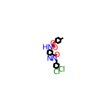 Cc1ccc(OC(=O)Nc2ccc3ncn(Cc4ccc(Cl)c(Cl)c4)c(=O)c3c2)cc1